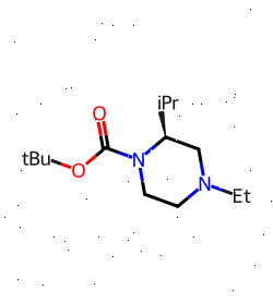 CCN1CCN(C(=O)OC(C)(C)C)[C@@H](C(C)C)C1